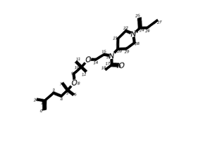 C=C(C)CCC(C)(C)OCC(C)(C)OCCN(C(C)=O)C1CCN(C(=C)CC)CC1